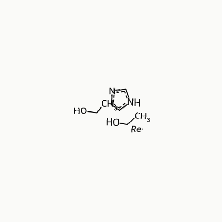 CCO.CCO.[Re].c1c[nH]cn1